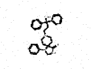 O=C(O)C(CCN1CCC2(CC1)C(=O)NCN2c1ccccc1)(c1ccccc1)c1ccccc1